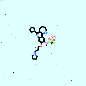 COc1cc2c3c(c(C4CCCC4)nc2cc1OCCCN1CCCC1)CCCCN3.O=S(=O)(O)C(F)(F)F